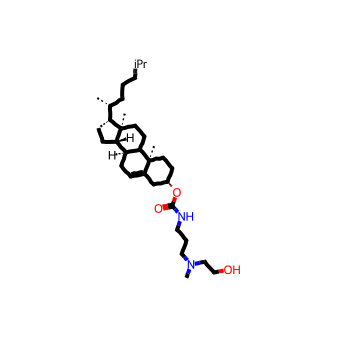 CC(C)CCC[C@@H](C)[C@H]1CC[C@H]2[C@@H]3CC=C4C[C@@H](OC(=O)NCCCN(C)CCO)CC[C@]4(C)C3CC[C@]12C